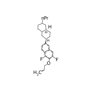 C=CCOc1c(F)cc2cc([C@@H]3CC[C@@H]4CC(CCC)CCC4C3)ccc2c1F